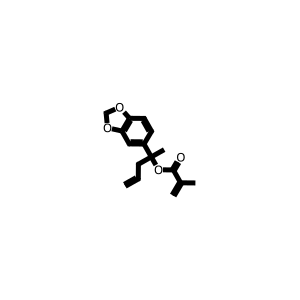 C=CCC(C)(OC(=O)C(=C)C)c1ccc2c(c1)OCO2